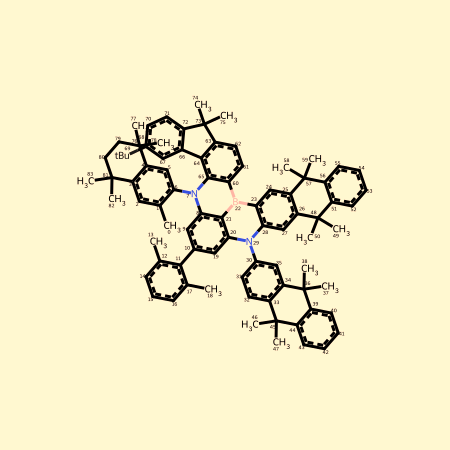 Cc1cc2c(cc1N1c3cc(-c4c(C)cccc4C)cc4c3B(c3cc5c(cc3N4c3ccc4c(c3)C(C)(C)c3ccccc3C4(C)C)C(C)(C)c3ccccc3C5(C)C)c3ccc4c(c31)-c1cc(C(C)(C)C)ccc1C4(C)C)C(C)(C)CCC2(C)C